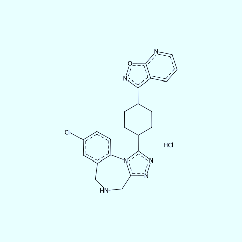 Cl.Clc1ccc2c(c1)CNCc1nnc(C3CCC(c4noc5ncccc45)CC3)n1-2